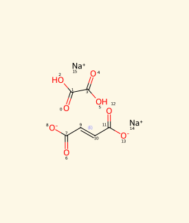 O=C(O)C(=O)O.O=C([O-])/C=C/C(=O)[O-].[Na+].[Na+]